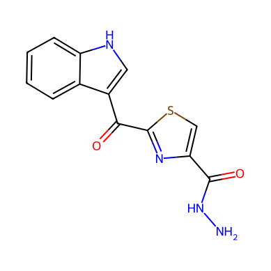 NNC(=O)c1csc(C(=O)c2c[nH]c3ccccc23)n1